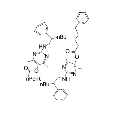 CCCCC(CNc1nc(C)c(OC(=O)CCCCc2ccccc2)c(C)n1)c1ccccc1.CCCCCC(=O)Oc1c(C)nc(NCC(CCCC)c2ccccc2)nc1C